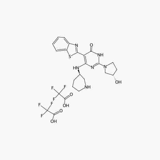 O=C(O)C(F)(F)F.O=C(O)C(F)(F)F.O=c1[nH]c(N2CC[C@H](O)C2)nc(N[C@@H]2CCCNC2)c1-c1nc2ccccc2s1